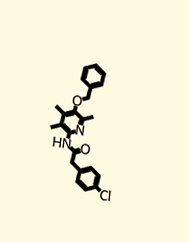 Cc1nc(NC(=O)Cc2ccc(Cl)cc2)c(C)c(C)c1OCc1ccccc1